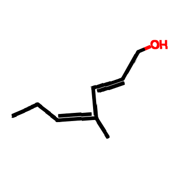 CCC=C(C)C=CCO